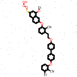 CCOc1cc(SOOO)cc2ccc(Oc3cccc(CCOc4ccc(-c5ccc(Oc6cccc(CC)c6C#N)cc5)cc4)c3C#N)cc12